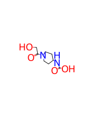 O=C(O)NC1CCN(C(=O)CO)CC1